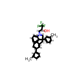 Cc1cccc(-c2cccc(CC3(c4cccc(C)c4)CN(C[C@@H](O)C(F)(F)F)c4ccccc43)c2)c1